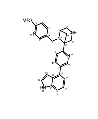 COc1ccc(CN2C3CNCC2(c2ccc(-c4ccnc5[nH]ccc45)cn2)C3)cn1